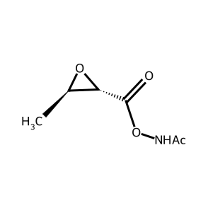 CC(=O)NOC(=O)[C@H]1O[C@@H]1C